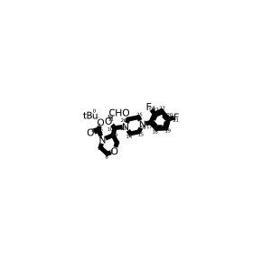 CC(C)(C)OC(=O)N1CCOCC1C(OC=O)N1CCN(c2ccc(F)cc2F)CC1